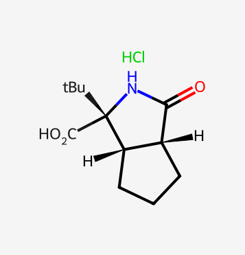 CC(C)(C)[C@@]1(C(=O)O)NC(=O)[C@@H]2CCC[C@@H]21.Cl